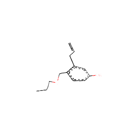 C=CCc1cc(O)ccc1COCCC